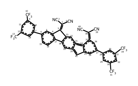 N#CC(C#N)=C1c2cc(-c3cc(C(F)(F)F)cc(C(F)(F)F)c3)ccc2-c2cc3c(cc21)=c1c(cc(-c2cc(C(F)(F)F)cc(C(F)(F)F)c2)cc1=C(C#N)C#N)C=3